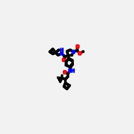 COC(=O)N1CCC(C(=O)NCC2(C)CCC2)(c2ccc(NC(=O)CC(C3CCC3)C3(C)CC3)cc2)C1